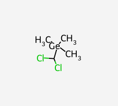 [CH3][Ge]([CH3])([CH3])[CH](Cl)Cl